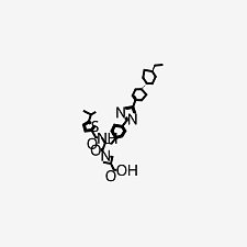 CC[C@H]1CC[C@H](C2CC=C(c3cnc(-c4ccc(C[C@H](NC(=O)c5ccc(C(C)C)s5)C(=O)N5CC(C(=O)O)C5)cc4)nc3)CC2)CC1